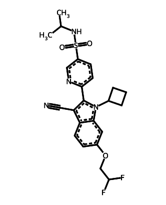 CC(C)NS(=O)(=O)c1ccc(-c2c(C#N)c3ccc(OCC(F)F)cc3n2C2CCC2)nc1